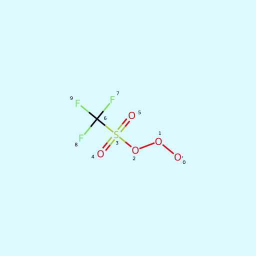 [O]OOS(=O)(=O)C(F)(F)F